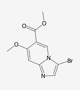 COC(=O)c1cn2c(Br)cnc2cc1OC